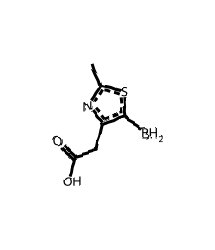 Bc1sc(C)nc1CC(=O)O